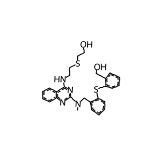 CN(Cc1ccccc1Sc1ccccc1CO)c1nc(NCCSCCO)c2ccccc2n1